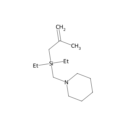 C=C(C)C[Si](CC)(CC)CN1CCCCC1